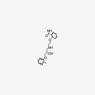 Cc1nccnc1OCC(O)CNCCOc1ccccc1C(N)=O